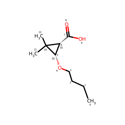 CCCCO[C@H]1[C@@H](C(=O)O)C1(C)C